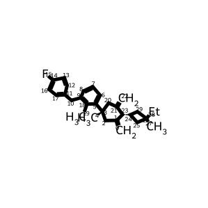 C=C1C[C@](C)(c2cccc(Cc3ccc(F)cc3)c2C)CC(=C)[C@@H]1C1CC(C)(CC)C1